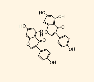 O=c1c(-c2ccc(O)cc2)coc2cc(O)cc(O)c12.O=c1c(-c2ccc(O)cc2)coc2cc(O)cc(O)c12